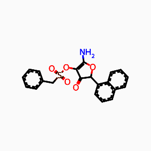 NC1=C(OS(=O)(=O)Cc2ccccc2)C(=O)C(c2cccc3ccccc23)O1